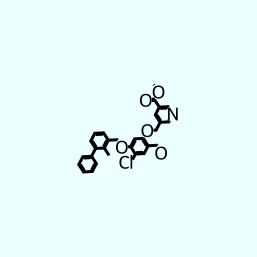 COC(=O)c1cncc(COc2cc(OCc3cccc(-c4ccccc4)c3C)c(Cl)cc2C=O)c1